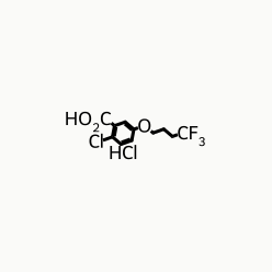 Cl.O=C(O)c1cc(OCCCC(F)(F)F)ccc1Cl